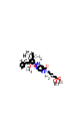 CCOC(C[SiH2]CCCNC(=O)c1ccc2nn(-c3cc(C(C)(C)CC(C)(C)C)cc(C(C)(C)c4ccccc4)c3O)nc2c1)OCC